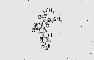 CCOC(=O)C(Oc1ccc(-c2ncc(C(F)(F)F)cc2Cl)cc1[N+](=O)[O-])C(=O)OCC